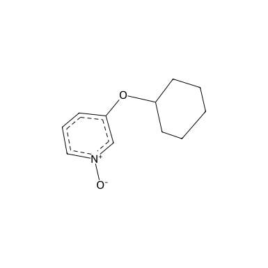 [O-][n+]1cccc(OC2CCCCC2)c1